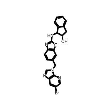 O[C@@H]1Cc2ccccc2C1Nc1nc2ccc(Cn3cnc4cc(Br)cnc43)cc2o1